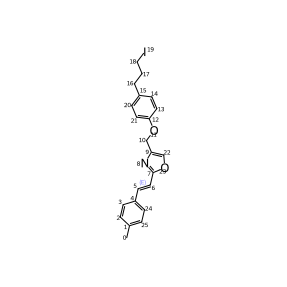 Cc1ccc(/C=C/c2nc(COc3ccc(CCCI)cc3)co2)cc1